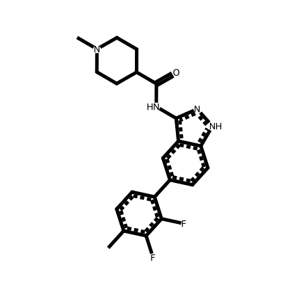 Cc1ccc(-c2ccc3[nH]nc(NC(=O)C4CCN(C)CC4)c3c2)c(F)c1F